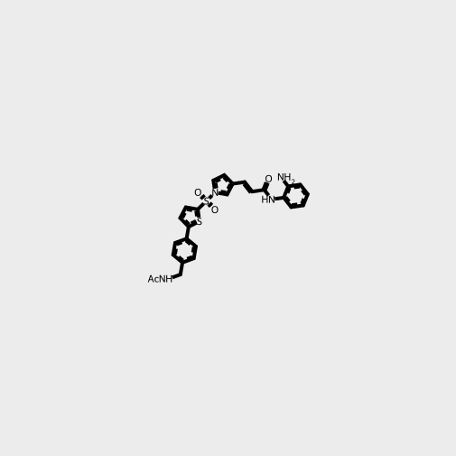 CC(=O)NCc1ccc(-c2ccc(S(=O)(=O)n3ccc(C=CC(=O)Nc4ccccc4N)c3)s2)cc1